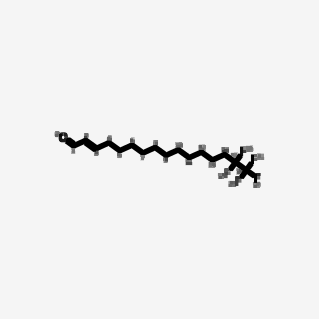 O=C/C=C/CCCCCCCCCCCC(F)(F)C(F)(F)F